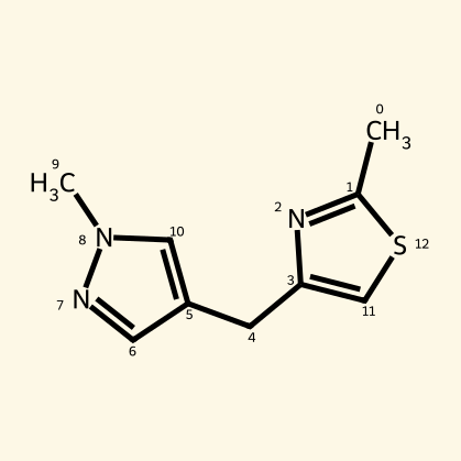 Cc1nc(Cc2cnn(C)c2)cs1